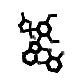 COc1cc(OC)c(-c2nc3ncccn3c2Nc2c(Cl)cccc2Cl)c(C2(N)NN=C(C)O2)c1